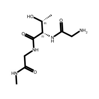 CNC(=O)CNC(=O)[C@@H](NC(=O)CN)[C@@H](C)O